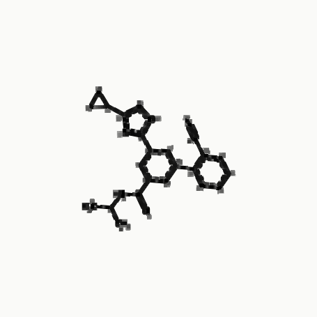 CC(C)NC(=O)c1cc(-c2nc(C3CC3)co2)cc(-c2ccccc2C#N)c1